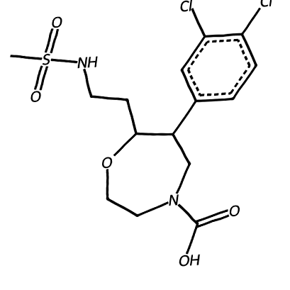 CS(=O)(=O)NCCC1OCCN(C(=O)O)CC1c1ccc(Cl)c(Cl)c1